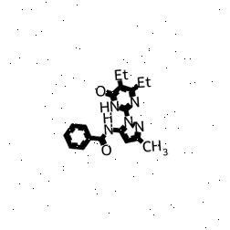 CCc1nc(-n2nc(C)cc2NC(=O)c2ccccc2)[nH]c(=O)c1CC